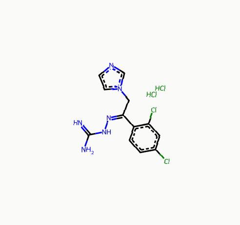 Cl.Cl.N=C(N)N/N=C(/Cn1ccnc1)c1ccc(Cl)cc1Cl